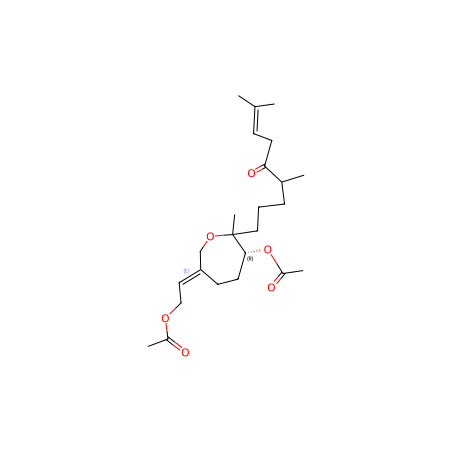 CC(=O)OC/C=C1\CC[C@@H](OC(C)=O)C(C)(CCCC(C)C(=O)CC=C(C)C)OC1